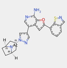 CC(=O)N1[C@@H]2CC[C@H]1C[C@H](n1cc(-c3cnc(N)c4oc(-c5cccc6cnsc56)cc34)cn1)C2